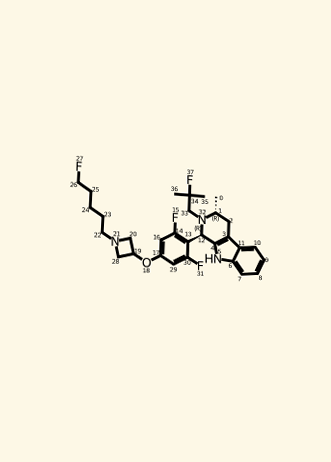 C[C@@H]1Cc2c([nH]c3ccccc23)[C@@H](c2c(F)cc(OC3CN(CCCCCF)C3)cc2F)N1CC(C)(C)F